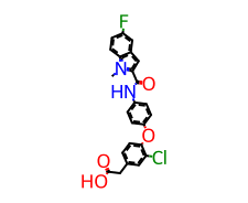 Cn1c(C(=O)Nc2ccc(Oc3ccc(CC(=O)O)cc3Cl)cc2)cc2cc(F)ccc21